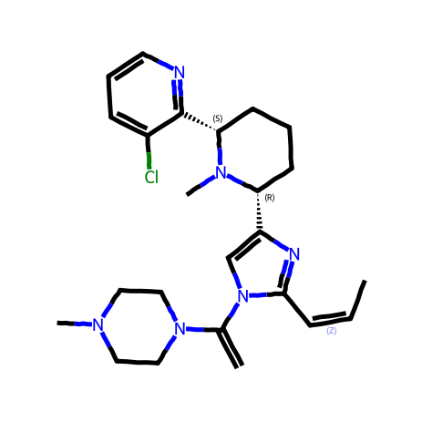 C=C(N1CCN(C)CC1)n1cc([C@H]2CCC[C@@H](c3ncccc3Cl)N2C)nc1/C=C\C